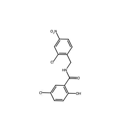 O=C(NCc1ccc([N+](=O)[O-])cc1Cl)c1cc(Cl)ccc1O